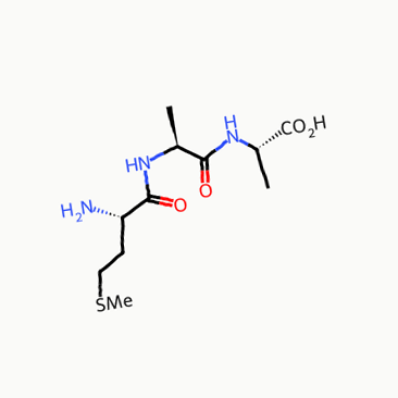 CSCC[C@H](N)C(=O)N[C@@H](C)C(=O)N[C@@H](C)C(=O)O